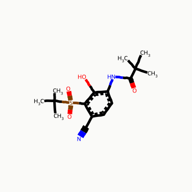 CC(C)(C)C(=O)Nc1ccc(C#N)c(S(=O)(=O)C(C)(C)C)c1O